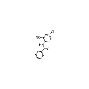 N#Cc1cc(Cl)ccc1NC(=O)c1ccccc1